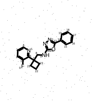 Fc1cccnc1C1(CNc2nnc(-c3ccccc3)o2)CCC1